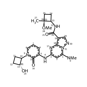 CNc1cc(Nc2cccn(C3CC[C@H]3O)c2=O)nc2c(C(=O)NC3CC[C@]3(C)OC)cnn12